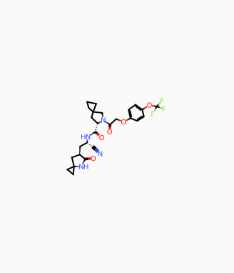 N#C[C@H](C[C@@H]1CC2(CC2)NC1=O)NC(=O)[C@@H]1CC2(CCC2)CN1C(=O)COc1ccc(OC(F)(F)F)cc1